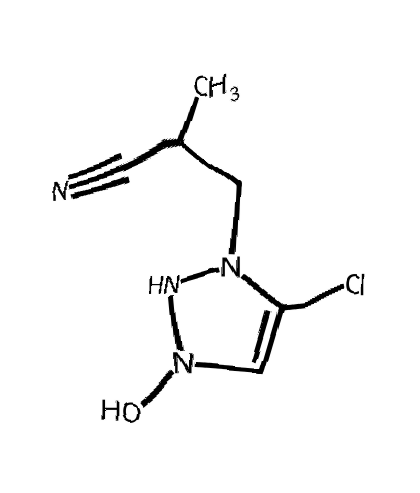 CC(C#N)CN1NN(O)C=C1Cl